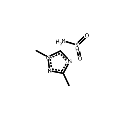 Cc1ncn(C)n1.N[SH](=O)=O